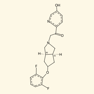 O=C(CN1C[C@H]2CC(Oc3c(F)cccc3F)C[C@H]2C1)c1ccc(O)cn1